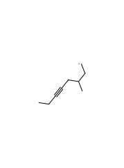 [CH2]CC(C)CC#CCC